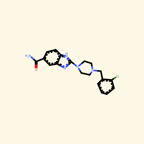 NC(=O)c1ccc2[nH]c(N3CCN(Cc4ccccc4Cl)CC3)nc2c1